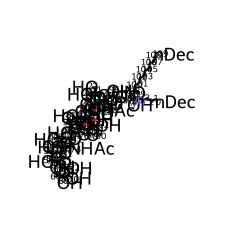 CCCCCCCCCCCCC/C=C/[C@@H](O)[C@H](CO[C@@H]1OC(CO)[C@@H](O[C@@H]2OC(CO)[C@H](O)[C@H](O[C@@H]3OC(CO)[C@@H](O[C@@H]4OC(CO)[C@H](O)[C@H](O[C@H]5OC(CO)[C@H](O)[C@H](O[C@@H]6OC(CO)[C@H](O)[C@H](O)C6O[C@H]6OC(C)[C@@H](O)C(O)[C@@H]6O)C5NC(C)=O)C4O[C@H]4OC(C)[C@@H](O)C(O)[C@@H]4O)[C@H](O)C3NC(C)=O)C2O)[C@H](O)C1O)NC(=O)CCCCCCCCCCCCCCCCCCC